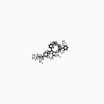 Cc1cccc(C)c1-c1cc2nc(n1)NS(=O)(=O)c1cccc(n1)C(C1CC3(CCN(C(=O)OC(C)(C)C)CC3)C1)[C@H](CC(C)C)CO2